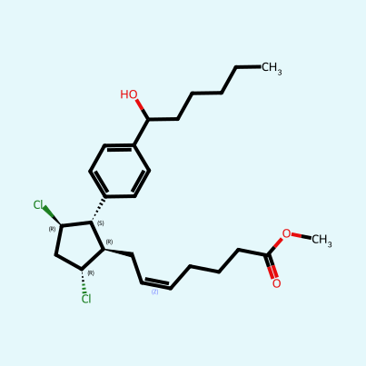 CCCCCC(O)c1ccc([C@@H]2[C@@H](C/C=C\CCCC(=O)OC)[C@H](Cl)C[C@H]2Cl)cc1